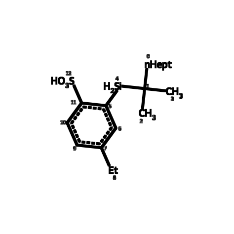 CCCCCCCC(C)(C)[SiH2]c1cc(CC)ccc1S(=O)(=O)O